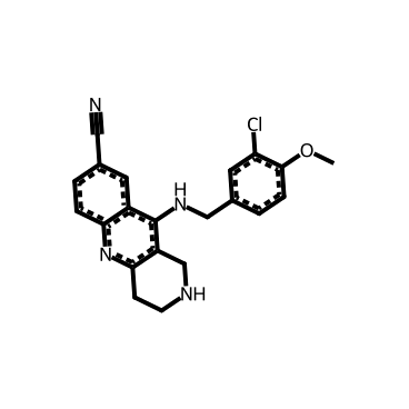 COc1ccc(CNc2c3c(nc4ccc(C#N)cc24)CCNC3)cc1Cl